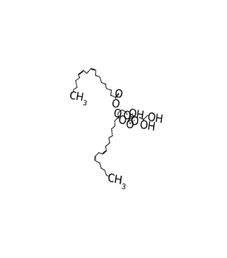 CCCCC/C=C\C/C=C\CCCCCCCC(=O)OC[C@H](COP(=O)(O)OC[C@@H](O)CO)OC(=O)CCCCCCC/C=C\C/C=C\CCCCC